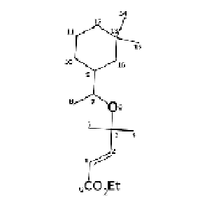 CCOC(=O)C=CC(C)(C)OC(C)C1CCCC(C)(C)C1